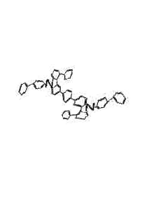 c1ccc(-c2ccc(-n3c4ccc(-c5ccc(-c6ccc7c(c6)c6c(-c8ccccc8)cccc6n7-c6ccc(-c7ccccc7)cc6)cc5)cc4c4c(-c5ccccc5)cccc43)cc2)cc1